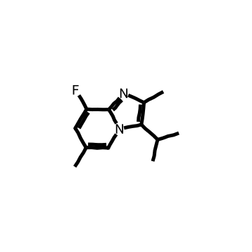 Cc1cc(F)c2nc(C)c(C(C)C)n2c1